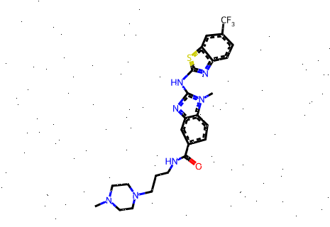 CN1CCN(CCCNC(=O)c2ccc3c(c2)nc(Nc2nc4ccc(C(F)(F)F)cc4s2)n3C)CC1